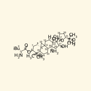 CCC(C)[C@@H](N)C(=O)O[C@H]1CC[C@]23CC24CC[C@]2(C)[C@@H]([C@@]5(C)CC[C@@H](C(C)(C)O)O5)[C@@H](O)C[C@@]2(N)C4CC[C@H]3C1(C)C